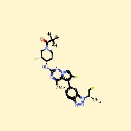 [2H]C([2H])([2H])C(=O)N1CC[C@H](Nc2nc(OC)c3c(-c4ccc5nnn([C@@H](C)CF)c5c4)c(F)cn3n2)[C@H](F)C1